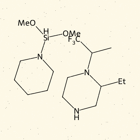 CCC1CNCCN1C(C)C(F)(F)F.CO[SiH](OC)N1CCCCC1